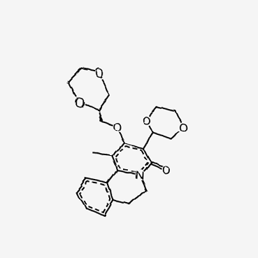 Cc1c(OC[C@@H]2COCCO2)c(C2COCCO2)c(=O)n2c1-c1ccccc1CC2